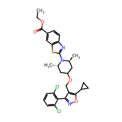 CCOC(=O)c1ccc2nc(N3[C@@H](C)CC(OCc4c(-c5c(Cl)cccc5Cl)noc4C4CC4)C[C@@H]3C)sc2c1